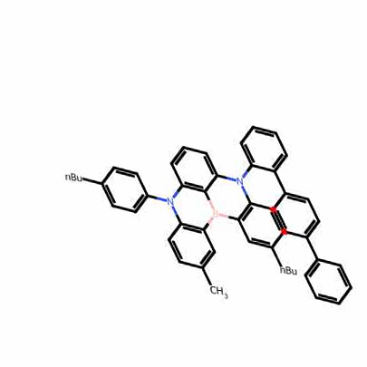 CCCCc1ccc(N2c3ccc(C)cc3B3c4cc(CCCC)ccc4N(c4ccccc4-c4ccc(-c5ccccc5)cc4)c4cccc2c43)cc1